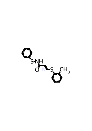 Cc1ccccc1S/C=C/C(=O)NSc1ccccc1